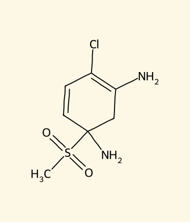 CS(=O)(=O)C1(N)C=CC(Cl)=C(N)C1